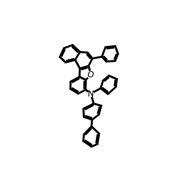 c1ccc(-c2ccc(N(c3ccccc3)c3cccc4c3oc3c(-c5ccccc5)cc5ccccc5c34)cc2)cc1